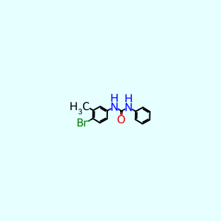 Cc1cc(NC(=O)Nc2ccccc2)ccc1Br